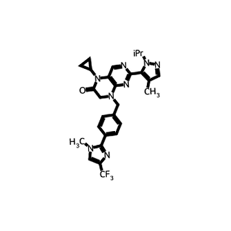 Cc1cnn(C(C)C)c1-c1ncc2c(n1)N(Cc1ccc(-c3nc(C(F)(F)F)cn3C)cc1)CC(=O)N2C1CC1